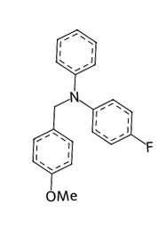 COc1ccc(CN(c2ccccc2)c2ccc(F)cc2)cc1